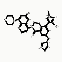 CCc1cc(N2CCOCC2)c2nccc(N3CCc4c(cc(Cn5ccnc5)cc4-c4cn(C)nc4C(F)(F)F)C3=O)c2c1